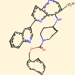 O=C(O)c1cnc2ccc(-c3cnc4ccccc4c3)nc2c1NC1CCN(C(=O)OCc2ccccc2)CC1